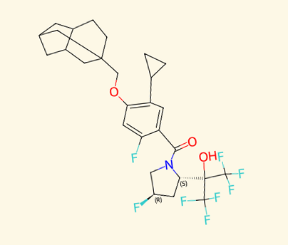 O=C(c1cc(C2CC2)c(OCC23CCC4CC(CC4C2)C3)cc1F)N1C[C@H](F)C[C@H]1C(O)(C(F)(F)F)C(F)(F)F